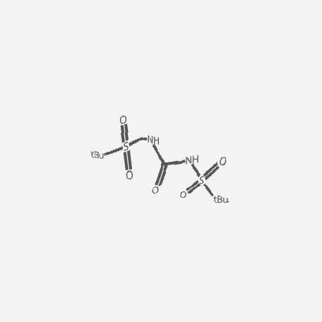 CC(C)(C)S(=O)(=O)NC(=O)NS(=O)(=O)C(C)(C)C